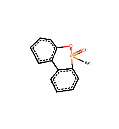 CC(=O)P1(=O)Oc2ccccc2-c2ccccc21